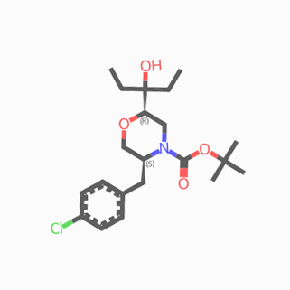 CCC(O)(CC)[C@H]1CN(C(=O)OC(C)(C)C)[C@@H](Cc2ccc(Cl)cc2)CO1